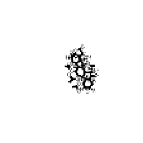 CC(=O)O[C@H]1[C@H]2C([C@@H]3[C@@]4(OC(C)=O)C[C@@]5([C@H](C)[C@@H]6O[C@@]67OC(=O)[C@@](C)(O)[C@]7(C)[C@H]45)[C@@]3(C)[C@H]1OC(C)=O)C(O)(O)C(=O)[C@H]1C[C@@H]3O[C@@H]3[C@H](OC(C)=O)[C@@]12C